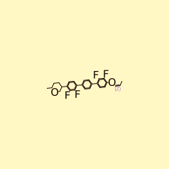 C/C=C\Oc1ccc(-c2ccc(-c3ccc(C4CCC(C)OC4)c(F)c3F)cc2)c(F)c1F